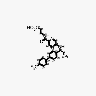 CC(C)C[C@H](Nc1cnc(C(=O)NCCC(=O)O)cn1)c1ccc(-c2ccc(C(F)(F)F)cc2)cc1